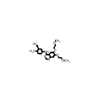 C#Cc1cc(Nc2ncnc3cc(OCCOC)c(OCCOC)cc23)ccc1C